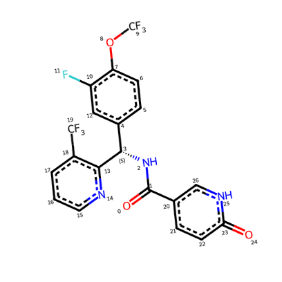 O=C(N[C@@H](c1ccc(OC(F)(F)F)c(F)c1)c1ncccc1C(F)(F)F)c1ccc(=O)[nH]c1